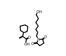 C=C(C(=O)O)C1CCCCC1.O=C1CCC(=O)N1CCCCCCCO